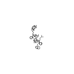 CC(C)CCN(C(=O)CC1CCCO1)c1ncc(C(=O)NCCCn2ccnc2)s1